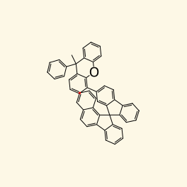 CC1(c2ccccc2)c2ccccc2Oc2c(-c3ccc4c(c3)C3(c5ccccc5-4)c4ccccc4-c4ccc5ccccc5c43)cccc21